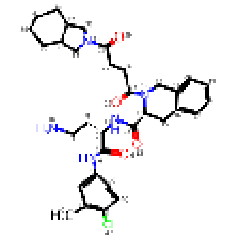 Cc1cc(NC(=O)[C@H](CCN)NC(=O)[C@@H]2Cc3ccccc3CN2C(=O)CCC(=O)N2CC3CCCCC3C2)ccc1Cl